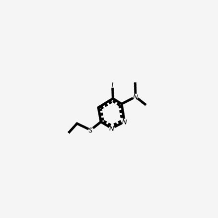 CCSc1cc(I)c(N(C)C)nn1